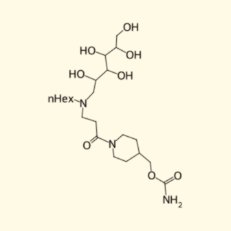 CCCCCCN(CCC(=O)N1CCC(COC(N)=O)CC1)CC(O)C(O)C(O)C(O)CO